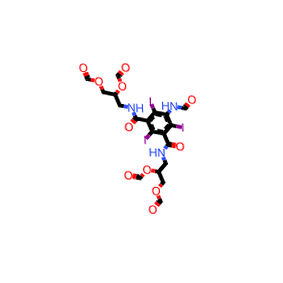 O=CNc1c(I)c(C(=O)NCC(COC=O)OC=O)c(I)c(C(=O)NCC(COC=O)OC=O)c1I